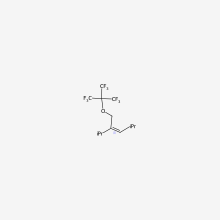 CC(C)/C=C(\COC(C(F)(F)F)(C(F)(F)F)C(F)(F)F)C(C)C